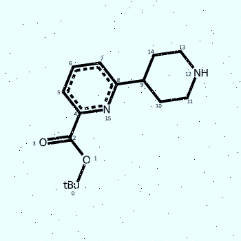 CC(C)(C)OC(=O)c1cccc(C2CCNCC2)n1